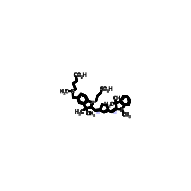 CN(CCCC(=O)O)Cc1ccc2c(c1)C(C)(C)C(/C=C1C=C(/C=C3/N(C)c4ccccc4C3(C)C)CC/1)=[N+]2CCCS(=O)(=O)O